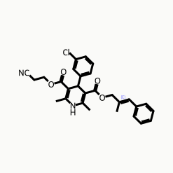 CC1=C(C(=O)OCCC#N)C(c2cccc(Cl)c2)C(C(=O)OC/C(C)=C/c2ccccc2)=C(C)N1